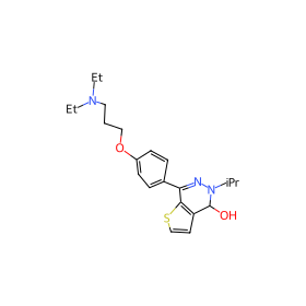 CCN(CC)CCCOc1ccc(C2=NN(C(C)C)C(O)c3ccsc32)cc1